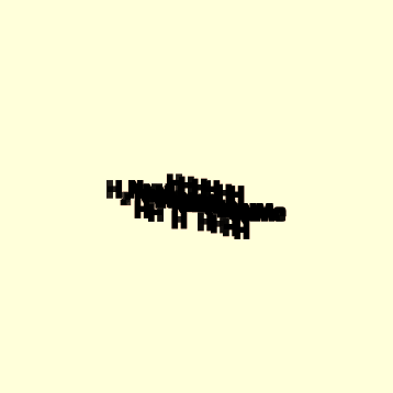 CNNNNNNNNNNNNNNNNNNN